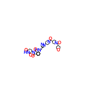 O=C1CCC(N2C(=O)c3cccc(NCc4cnn(C5CCN(C(=O)C6CCN(C(=O)C7CCOCC7)CC6)CC5)c4)c3C2=O)C(=O)N1